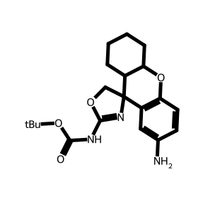 CC(C)(C)OC(=O)NC1=NC2(CO1)c1cc(N)ccc1OC1CCCCC12